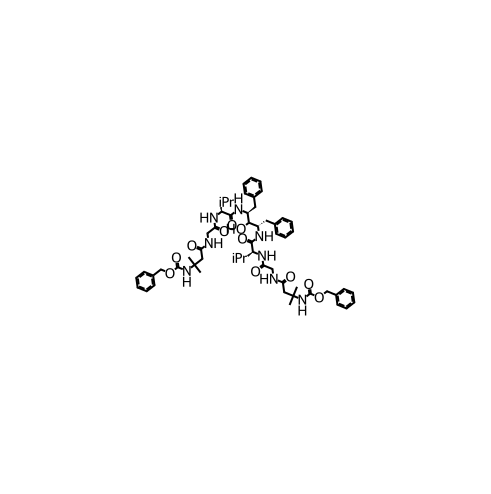 CC(C)[C@H](NC(=O)CNC(=O)CC(C)(C)NC(=O)OCc1ccccc1)C(=O)N[C@@H](Cc1ccccc1)C(O)[C@H](Cc1ccccc1)NC(=O)[C@@H](NC(=O)CNC(=O)CC(C)(C)NC(=O)OCc1ccccc1)C(C)C